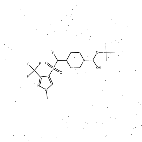 Cn1cc(S(=O)(=O)C(F)C2CCN(C(O)OC(C)(C)C)CC2)c(C(F)(F)F)n1